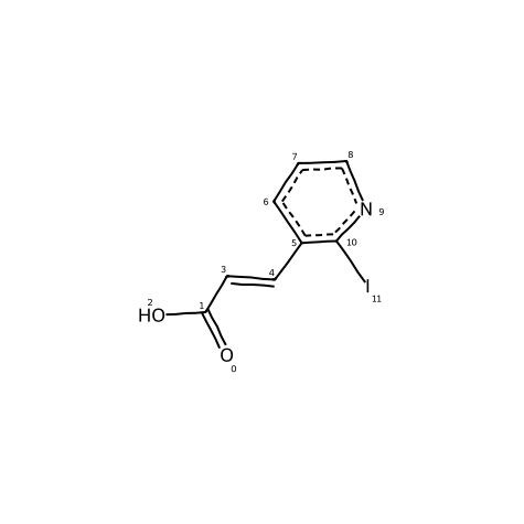 O=C(O)/C=C/c1cccnc1I